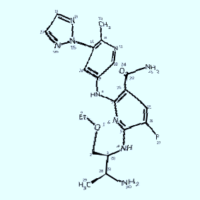 CCOC[C@@H](Nc1nc(Nc2cnc(C)c(-n3nccn3)c2)c(C(N)=O)cc1F)[C@H](C)N